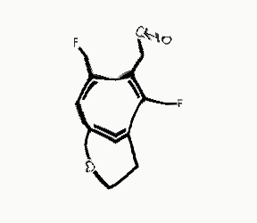 O=Cc1c(F)cc2c(c1F)CCO2